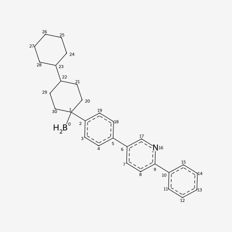 BC1(c2ccc(-c3ccc(-c4ccccc4)nc3)cc2)CCC(C2CCCCC2)CC1